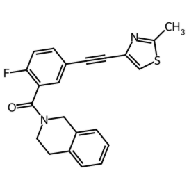 Cc1nc(C#Cc2ccc(F)c(C(=O)N3CCc4ccccc4C3)c2)cs1